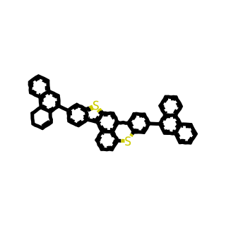 C1=Cc2c(-c3ccc4c(c3)sc3cc5c6c(cccc6c34)Sc3cc(-c4cc6ccccc6c6ccccc46)ccc3-5)cc3ccccc3c2CC1